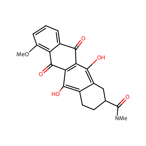 CNC(=O)C1CCc2c(O)c3c(c(O)c2C1)C(=O)c1cccc(OC)c1C3=O